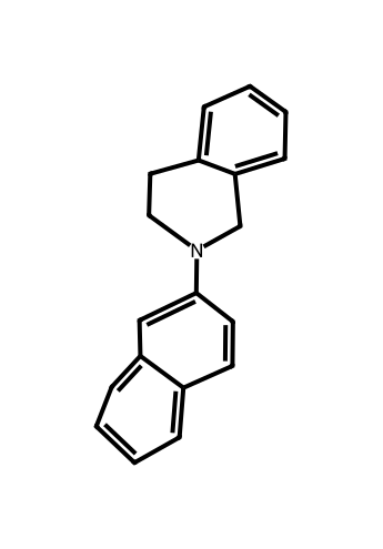 c1ccc2c(c1)CCN(c1ccc3ccccc3c1)C2